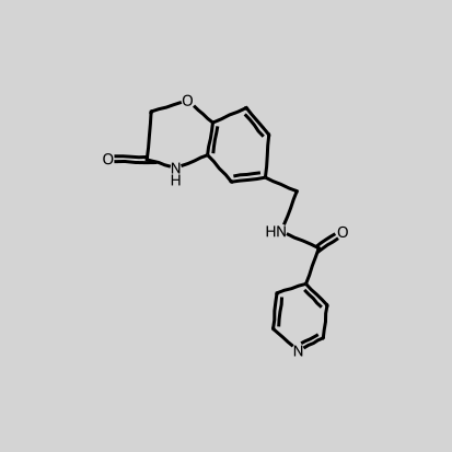 O=C1COc2ccc(CNC(=O)c3ccncc3)cc2N1